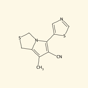 Cc1c(C#N)c(-c2cncs2)n2c1CSC2